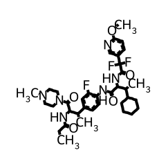 CCC(=O)NC(C(=O)N1CCN(C)CC1)C(C)c1ccc(NC(=O)C(NC(=O)C(F)(F)c2ccc(OC)nc2)C(C)C2CCCCC2)c(F)c1